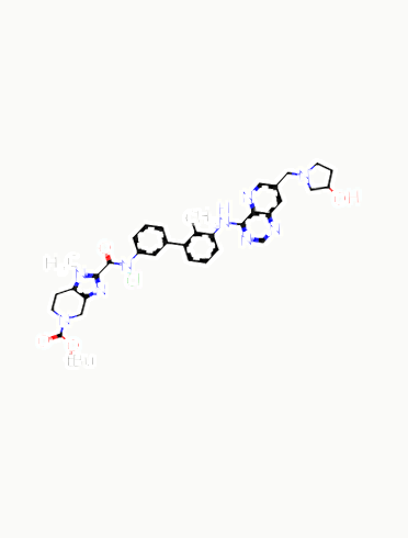 Cc1c(Nc2ncnc3cc(CN4CCC(O)C4)cnc23)cccc1-c1cccc(N(Cl)C(=O)c2nc3c(n2C)CCN(C(=O)OC(C)(C)C)C3)c1